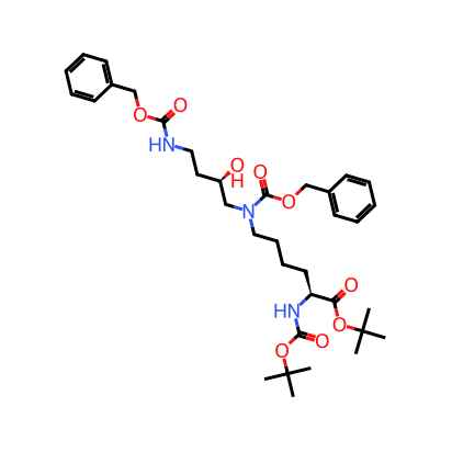 CC(C)(C)OC(=O)N[C@@H](CCCCN(C[C@H](O)CCNC(=O)OCc1ccccc1)C(=O)OCc1ccccc1)C(=O)OC(C)(C)C